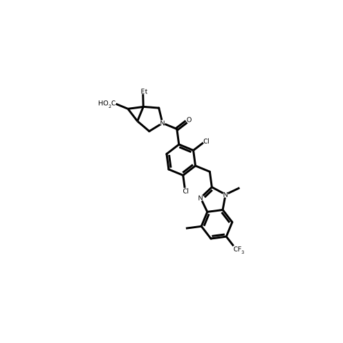 CCC12CN(C(=O)c3ccc(Cl)c(Cc4nc5c(C)cc(C(F)(F)F)cc5n4C)c3Cl)CC1C2C(=O)O